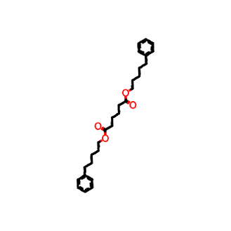 O=C(CCCCC(=O)OCCCCCc1ccccc1)OCCCCCc1ccccc1